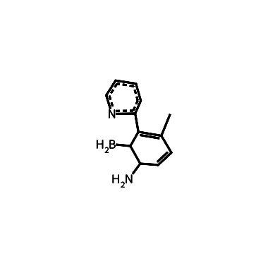 BC1C(c2ccccn2)=C(C)C=CC1N